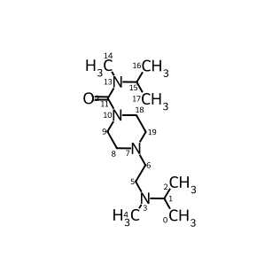 CC(C)N(C)CCN1CCN(C(=O)N(C)C(C)C)CC1